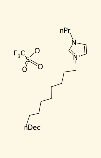 CCCCCCCCCCCCCCCCCC[n+]1ccn(CCC)c1.O=S(=O)([O-])C(F)(F)F